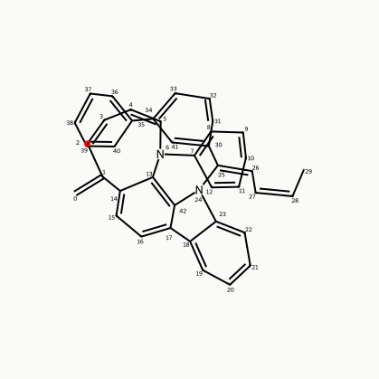 C=C1/C=C\C=C/N(c2ccccc2)c2c1ccc1c3ccccc3n(/C(=C\C=C/C)c3cccc(-c4ccccc4)c3)c21